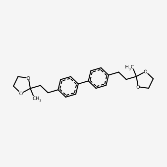 CC1(CCc2ccc(-c3ccc(CCC4(C)OCCO4)cc3)cc2)OCCO1